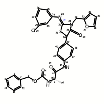 C[C@H](NC(=O)OCc1ccccc1)C(=O)Nc1ccc(C2S/C(=N\c3cccc(Cl)c3)N(Cc3ccco3)C2=O)cc1